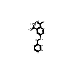 [CH2]c1n[nH]c(=O)c2cc(SCc3ccccc3)ccc12